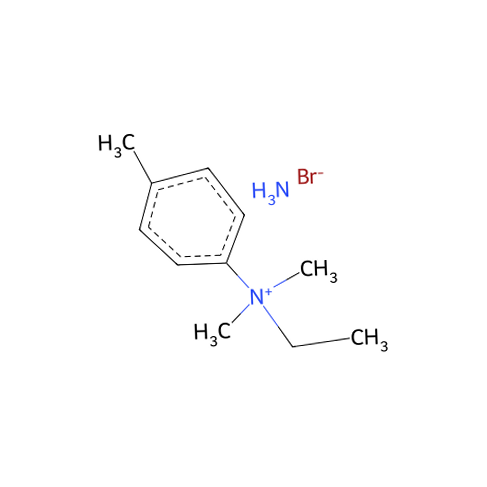 CC[N+](C)(C)c1ccc(C)cc1.N.[Br-]